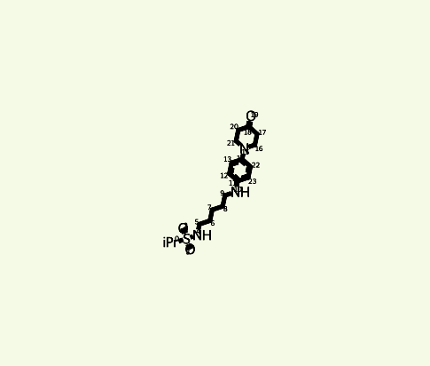 CC(C)S(=O)(=O)NCCCCCNc1ccc(N2CCC(=O)CC2)cc1